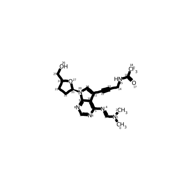 CN(C)/C=N/c1ncnc2c1c(C#CCNC(=O)C(F)(F)F)cn2[C@H]1CCC(CO)O1